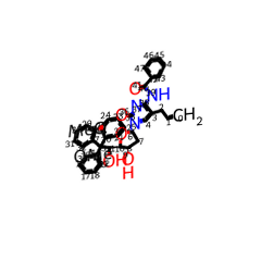 C=CCc1cn([C@H]2C[C@H](O)[C@@H](C(O)C(c3ccccc3)(c3ccccc3OC)c3ccccc3OC)O2)c(=O)nc1NC(=O)c1ccccc1